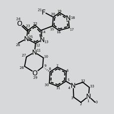 CN1CCN(c2ccc([C@H]3CN(c4nc(-c5ccncc5F)cc(=O)n4C)CCO3)cc2)CC1